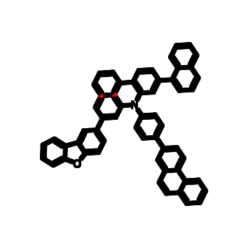 c1ccc(-c2ccc(-c3cccc4ccccc34)cc2N(c2ccc(-c3ccc4c(ccc5ccccc54)c3)cc2)c2cccc(-c3ccc4oc5ccccc5c4c3)c2)cc1